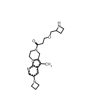 Cc1c2n(c3ncc(N4CCC4)cc13)CCN(C(=O)CCOCC1CCN1)C2